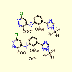 [2H]C([2H])([2H])n1cnc(-c2cccc(Nc3cc(Cl)nnc3C(=O)[O-])c2OC)n1.[2H]C([2H])([2H])n1cnc(-c2cccc(Nc3cc(Cl)nnc3C(=O)[O-])c2OC)n1.[Zn+2]